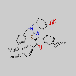 COc1ccc(CN(Cc2ccc(O)cc2)c2nc(-c3ccc(OC)cc3)c(C(=O)c3ccc(OC)cc3)s2)cc1